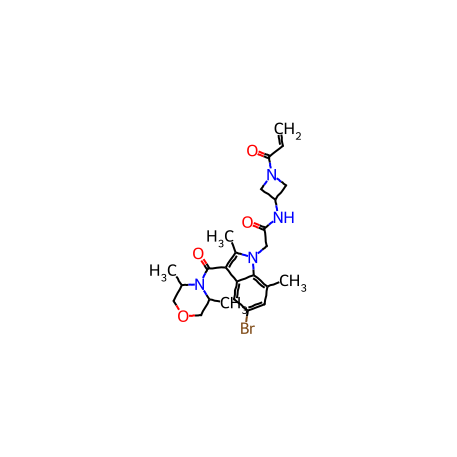 C=CC(=O)N1CC(NC(=O)Cn2c(C)c(C(=O)N3C(C)COCC3C)c3cc(Br)cc(C)c32)C1